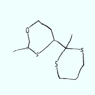 C[C]1OCCC(C2(C)SCCCS2)S1